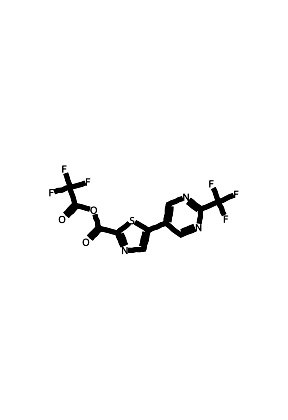 O=C(OC(=O)C(F)(F)F)c1ncc(-c2cnc(C(F)(F)F)nc2)s1